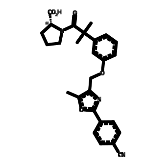 Cc1oc(-c2ccc(C#N)cc2)nc1COc1cccc(C(C)(C)C(=O)N2CCC[C@@H]2C(=O)O)c1